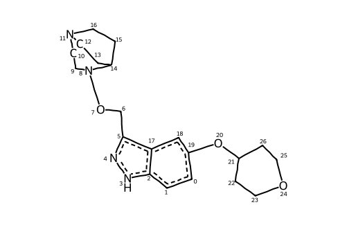 c1cc2[nH]nc(CON3CCN4CCC3CC4)c2cc1OC1CCOCC1